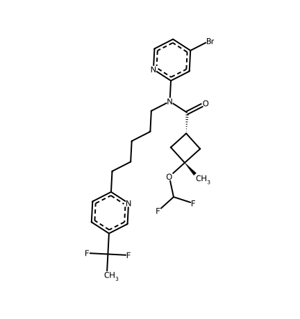 CC(F)(F)c1ccc(CCCCCN(c2cc(Br)ccn2)C(=O)[C@H]2C[C@@](C)(OC(F)F)C2)nc1